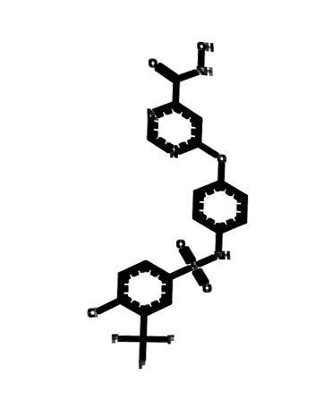 O=C(NO)c1cc(Oc2ccc(NS(=O)(=O)c3ccc(Cl)c(C(F)(F)F)c3)cc2)ncn1